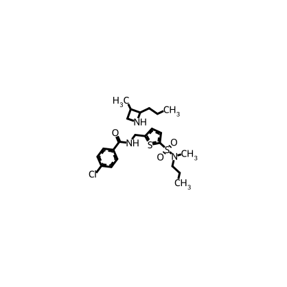 CCCC1NCC1C.CCCN(C)S(=O)(=O)c1ccc(CNC(=O)c2ccc(Cl)cc2)s1